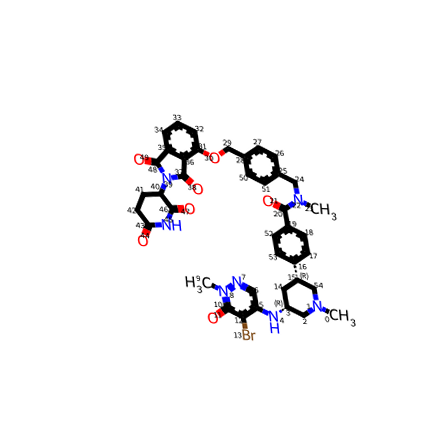 CN1C[C@H](Nc2cnn(C)c(=O)c2Br)C[C@H](c2ccc(C(=O)N(C)Cc3ccc(COc4cccc5c4C(=O)N(C4CCC(=O)NC4=O)C5=O)cc3)cc2)C1